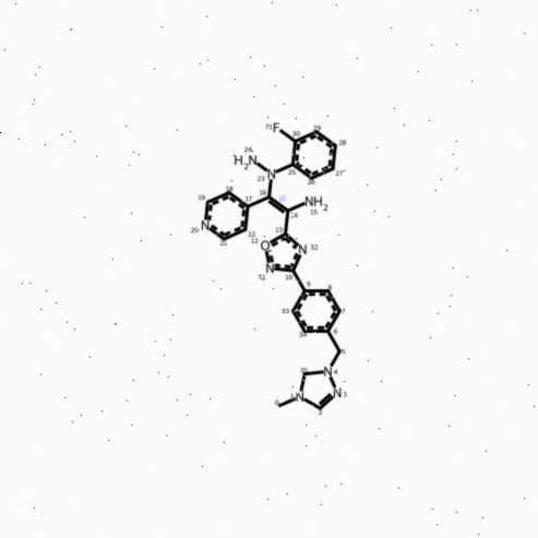 CN1C=NN(Cc2ccc(-c3noc(/C(N)=C(\c4ccncc4)N(N)c4ccccc4F)n3)cc2)C1